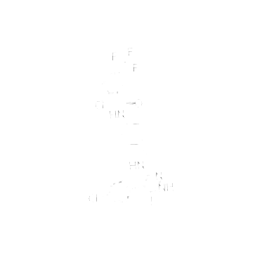 Cc1[nH]nc(NCC2CCC(NC(=O)c3cc(C(F)(F)F)ccc3Cl)CC2)c1-c1ccc(Cl)cc1